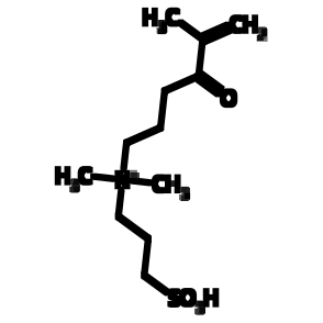 C=C(C)C(=O)CCC[N+](C)(C)CCCS(=O)(=O)O